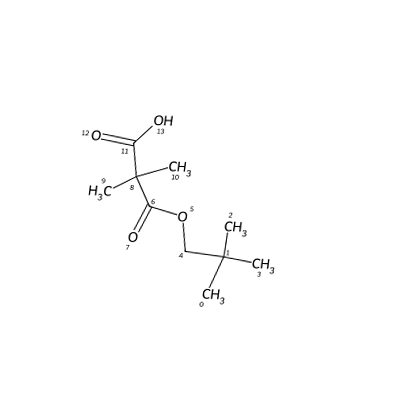 CC(C)(C)COC(=O)C(C)(C)C(=O)O